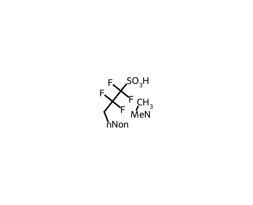 CCCCCCCCCCC(F)(F)C(F)(F)S(=O)(=O)O.CNC